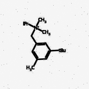 Cc1cc(C[N+](C)(C)C(C)C)cc(C(C)(C)C)c1